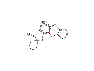 C=CC1(OC(=O)C2C3c4ccccc4C(c4ccccc43)C2C(=O)O)CCCC1